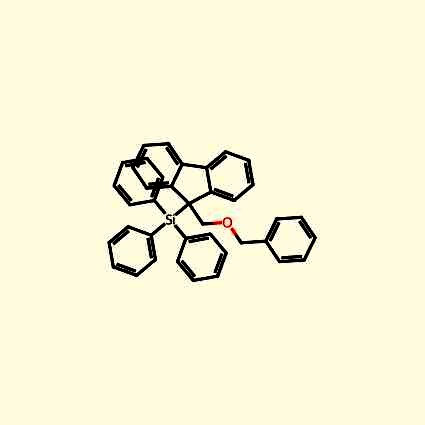 c1ccc(COCC2([Si](c3ccccc3)(c3ccccc3)c3ccccc3)c3ccccc3-c3ccccc32)cc1